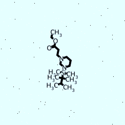 CCOC(=O)CCN1CCCN([Si](C)(C)C(C)(C)C(C)C)C1